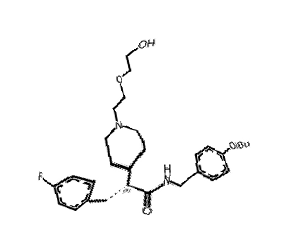 CC(C)COc1ccc(CNC(=O)[C@H](Cc2ccc(F)cc2)C2CCN(CCOCCO)CC2)cc1